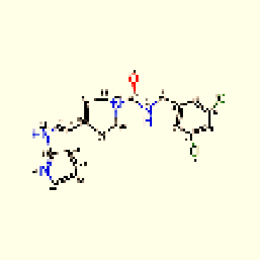 O=C(NCc1cc(Cl)cc(Cl)c1)N1CC=C(c2c[nH]c3ncccc23)CC1